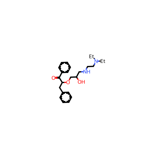 CCN(CC)CCNCC(O)COC(Cc1ccccc1)C(=O)c1ccccc1